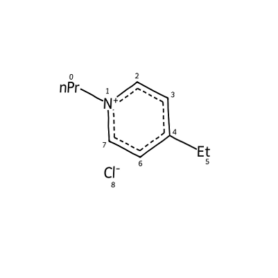 CCC[n+]1ccc(CC)cc1.[Cl-]